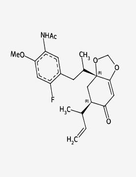 C=CC(C)[C@H]1C[C@]2(C(C)Cc3cc(NC(C)=O)c(OC)cc3F)OCOC2=CC1=O